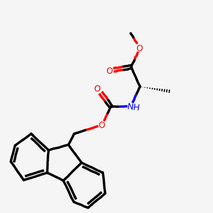 COC(=O)[C@H](C)NC(=O)OCC1c2ccccc2-c2ccccc21